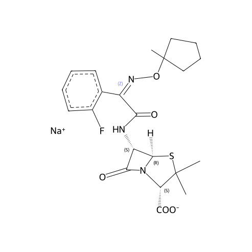 CC1(O/N=C(\C(=O)N[C@H]2C(=O)N3[C@@H]2SC(C)(C)[C@@H]3C(=O)[O-])c2ccccc2F)CCCC1.[Na+]